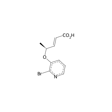 C[C@@H](/C=C/C(=O)O)Oc1cccnc1Br